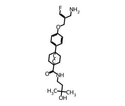 CC(C)(O)CCNC(=O)C12CCC(c3ccc(OCC(=CF)CN)cc3)(CC1)CC2